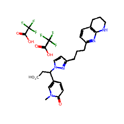 Cn1cc(C(CC(=O)O)n2ccc(CCCc3ccc4c(n3)NCCC4)n2)ccc1=O.O=C(O)C(F)(F)F.O=C(O)C(F)(F)F